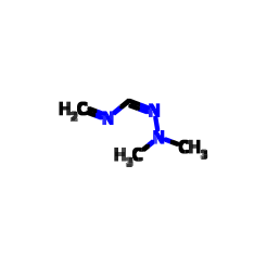 C=N/C=N\N(C)C